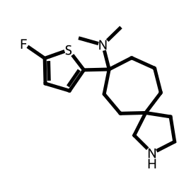 CN(C)C1(c2ccc(F)s2)CCCC2(CCNC2)CC1